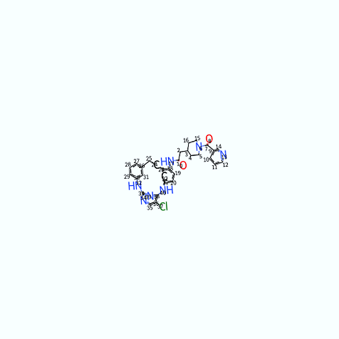 O=C(CC1CCN(C(=O)c2cccnc2)CC1)Nc1ccc2cc1CCc1cccc(c1)Nc1ncc(Cl)c(n1)N2